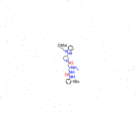 COCCCn1c(C2CCCN(C(=O)CC(N)CNC(=O)Nc3ccccc3C(C)(C)C)C2)nc2ccccc21